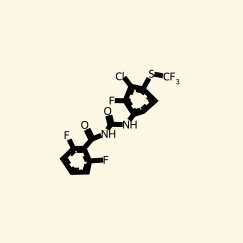 O=C(NC(=O)c1c(F)cccc1F)Nc1ccc(SC(F)(F)F)c(Cl)c1F